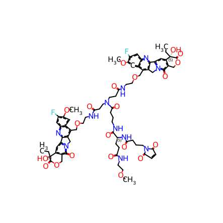 CC[C@@]1(O)C(=O)OCc2c1cc1n(c2=O)Cc2c-1nc1cc(F)c(OC)cc1c2COCCNC(=O)CCN(CCC(=O)NCCOCc1c2c(nc3cc(F)c(OC)cc13)-c1cc3c(c(=O)n1C2)COC(=O)[C@]3(O)CC)C(=O)CCCNC(=O)[C@H](CCC(=O)NCCOC)NC(=O)CCCN1C(=O)C=CC1=O